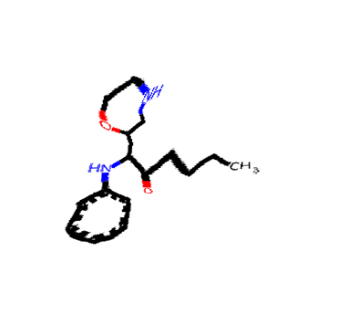 CCCCC(=O)C(Nc1ccccc1)C1CNCCO1